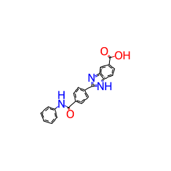 O=C(O)c1ccc2[nH]c(-c3ccc(C(=O)Nc4ccccc4)cc3)nc2c1